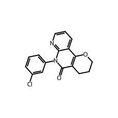 O=c1c2c(c3cccnc3n1-c1cccc(Cl)c1)OCCC2